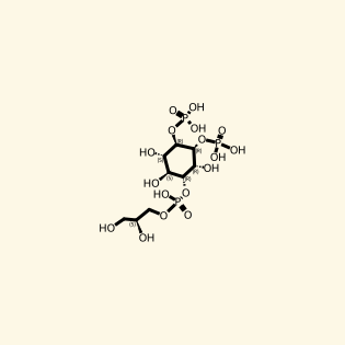 O=P(O)(O)O[C@@H]1[C@H](O)[C@H](OP(=O)(O)OC[C@@H](O)CO)[C@@H](O)[C@H](O)[C@H]1OP(=O)(O)O